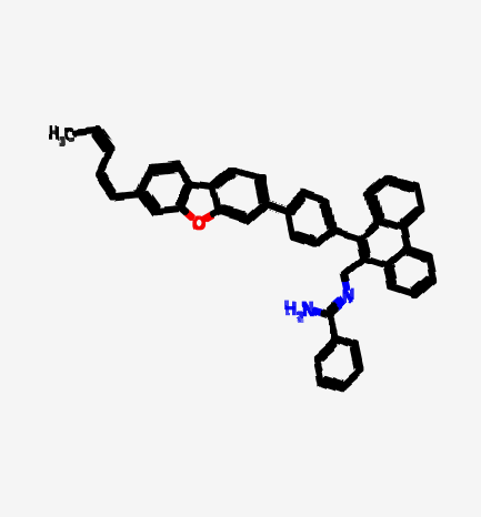 C/C=C\C=C/c1ccc2c(c1)oc1cc(-c3ccc(-c4c(C/N=C(\N)c5ccccc5)c5ccccc5c5ccccc45)cc3)ccc12